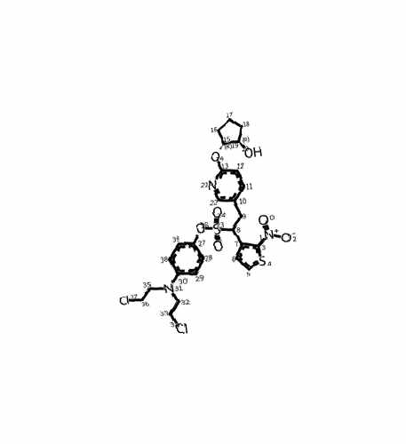 O=[N+]([O-])c1sccc1C(Cc1ccc(O[C@@H]2CCC[C@H]2O)nc1)S(=O)(=O)Oc1ccc(N(CCCl)CCCl)cc1